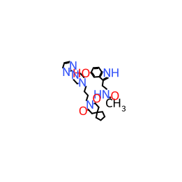 CC(=O)NCCc1c[nH]c2ccc(O)cc12.O=C1CC2(CCCC2)CC(=O)N1CCCCN1CCN(c2ncccn2)CC1